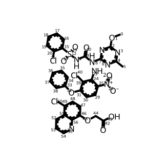 COc1nc(C)nc(NC(=O)NS(=O)(=O)c2ccccc2Cl)n1.Nc1c([N+](=O)[O-])ccc(Oc2ccccc2)c1Cl.O=C(O)COc1ccc(Cl)c2cccnc12